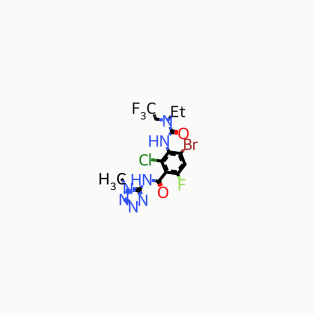 CCN(CC(F)(F)F)C(=O)Nc1c(Br)cc(F)c(C(=O)Nc2nnnn2C)c1Cl